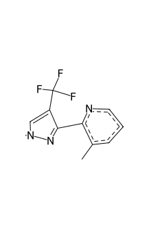 Cc1cccnc1C1=N[N]C=C1C(F)(F)F